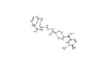 COC(=N)/C=C\C(=N)C(=O)C1CCN(C(=O)CCCc2nc3ccccc3c(=O)[nH]2)CC1